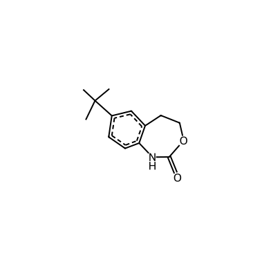 CC(C)(C)c1ccc2c(c1)CCOC(=O)N2